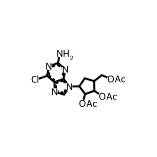 CC(=O)OCC1CC(n2cnc3c(Cl)nc(N)nc32)C(OC(C)=O)C1OC(C)=O